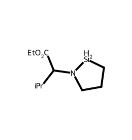 CCOC(=O)C(C(C)C)N1CCC[SiH2]1